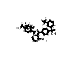 CC(O)(c1ccc(-c2nc(C34CCC(C(=O)O)(CC3(F)F)C(F)(F)C4)n3ccnc(N)c23)cc1)c1cccc(C(F)(F)F)c1